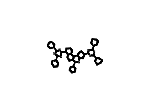 c1ccc(-c2nc(-c3ccccc3)nc(-c3ccc4c(c3)nc(-c3ccccc3)c3ccc5c(-c6nc(-c7ccccc7)nc(-c7ccccc7)n6)cccc5c34)n2)cc1